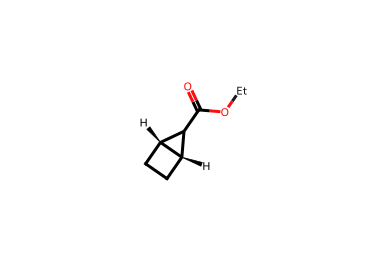 CCOC(=O)C1[C@H]2CC[C@@H]12